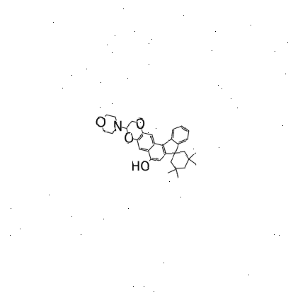 CC1(C)CC(C)(C)CC2(C1)c1ccccc1-c1c2cc(O)c2cc3c(cc12)OCC(N1CCOCC1)O3